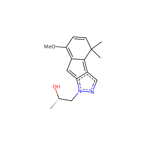 COC1=C2C=c3c(cnn3C[C@H](C)O)=C2C(C)(C)C=C1